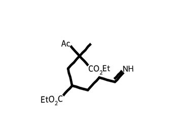 CCOC(=O)C(CCC=N)CC(C)(C(C)=O)C(=O)OCC